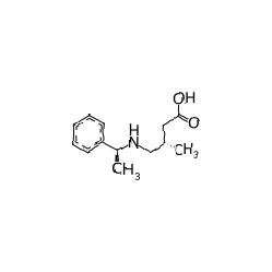 C[C@H](CN[C@@H](C)c1ccccc1)CC(=O)O